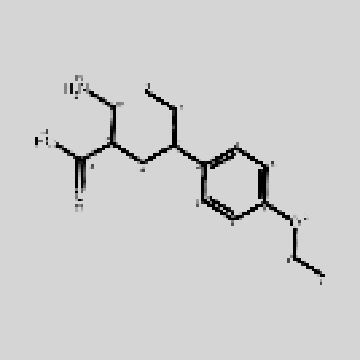 CCOc1ccc(C(CC)CC(CN)C(=O)O)cc1